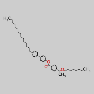 CCCCCCCCCCCCCCCc1ccc(-c2ccc(OC(=O)c3ccc(C(C)OCCCCCCCC)cc3)cc2)cc1